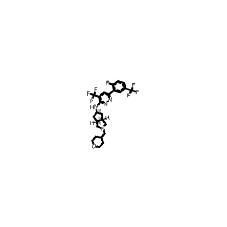 Fc1ccc(C(F)(F)F)cc1-c1cc(C(F)(F)F)c(N[C@H]2C[C@@H]3CN(CC4CCOCC4)C[C@@H]3C2)nn1